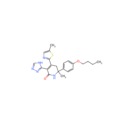 CCCCOc1ccc(C2(C)CC(c3ncc(C)s3)=C(c3nnc[nH]3)C(=O)N2)cc1